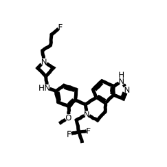 COc1cc(NC2CN(CCCF)C2)ccc1C1c2ccc3[nH]ncc3c2CCN1CC(C)(F)F